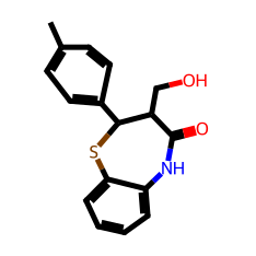 Cc1ccc(C2Sc3ccccc3NC(=O)C2CO)cc1